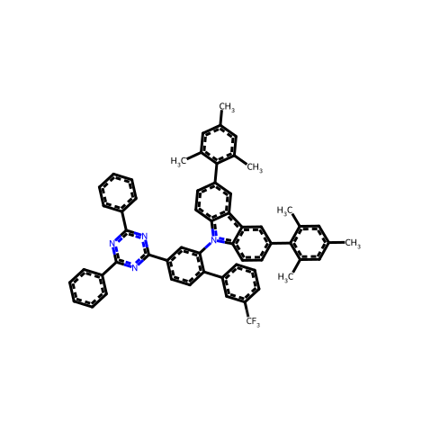 Cc1cc(C)c(-c2ccc3c(c2)c2cc(-c4c(C)cc(C)cc4C)ccc2n3-c2cc(-c3nc(-c4ccccc4)nc(-c4ccccc4)n3)ccc2-c2cccc(C(F)(F)F)c2)c(C)c1